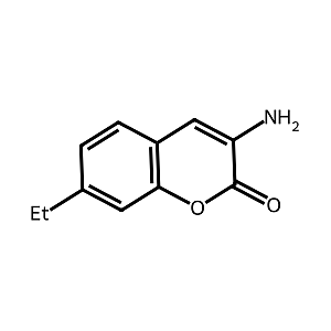 CCc1ccc2cc(N)c(=O)oc2c1